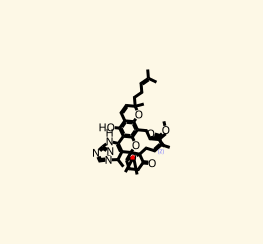 COC(=O)/C(C)=C\CC12OC(C)(C)C(CCC1=O)C21Oc2c(CC=C(C)C)c3c(c(O)c2C2=C1C(C)n1cnc(n1)N2)C=CC(C)(CCC=C(C)C)O3